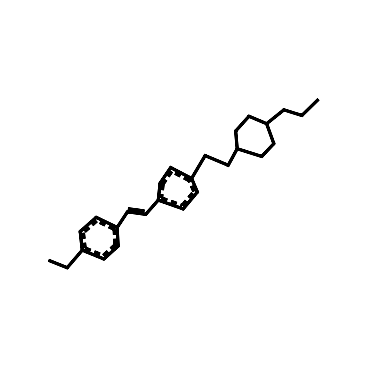 CCCC1CCC(CCc2ccc(C=Cc3ccc(CC)cc3)cc2)CC1